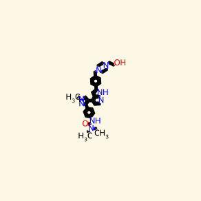 CCN(CC)C(=O)Nc1ccc(-c2nn(C)cc2-c2ccnc3[nH]c(-c4ccc(CN5CCN(CCO)CC5)cc4)cc23)cc1